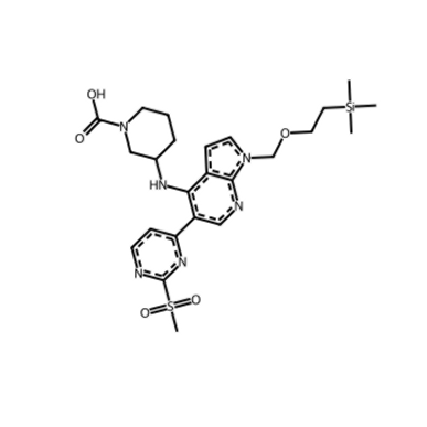 C[Si](C)(C)CCOCn1ccc2c(NC3CCCN(C(=O)O)C3)c(-c3ccnc(S(C)(=O)=O)n3)cnc21